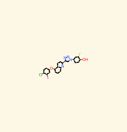 Oc1ccc(-n2cc(-c3ccc4c(Oc5ccc(Cl)c(I)c5)cccc4n3)nn2)cc1F